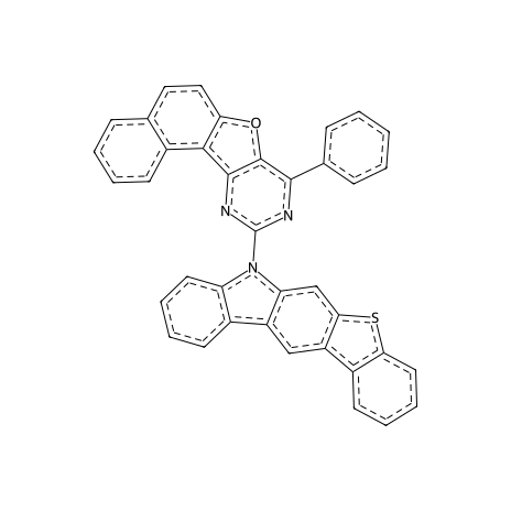 c1ccc(-c2nc(-n3c4ccccc4c4cc5c(cc43)sc3ccccc35)nc3c2oc2ccc4ccccc4c23)cc1